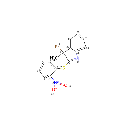 CC1(Br)C(Sc2ccccc2[N+](=O)[O-])=Nc2ccccc21